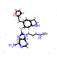 CC(C)NCCCn1c(Sc2cc3c(cc2Cc2ccco2)CCN3)nc2c(N)ncnc21